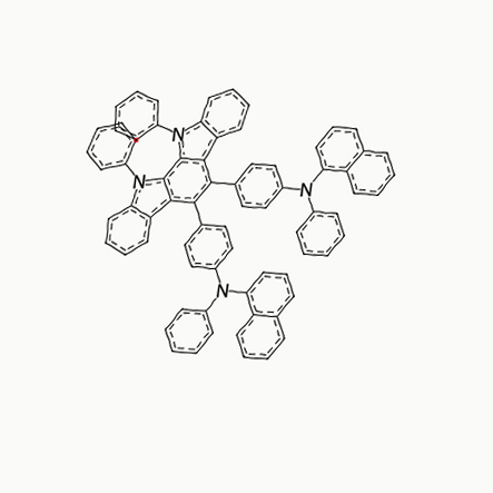 c1ccc(N(c2ccc(-c3c(-c4ccc(N(c5ccccc5)c5cccc6ccccc56)cc4)c4c5ccccc5n(-c5ccccc5)c4c4c3c3ccccc3n4-c3ccccc3)cc2)c2cccc3ccccc23)cc1